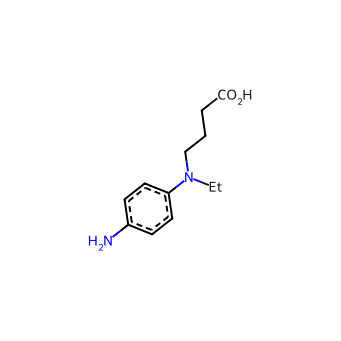 CCN(CCCC(=O)O)c1ccc(N)cc1